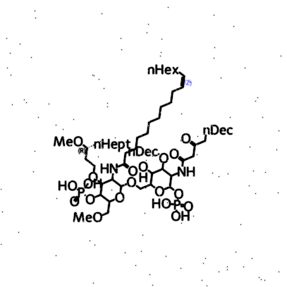 CCCCCC/C=C\CCCCCCCCCC(=O)NC1C(OCC2OC(OP(=O)(O)O)C(NC(=O)CC(=O)CCCCCCCCCCC)C(OCCCCCCCCCC)C2O)OC(COC)C(OP(=O)(O)O)C1OCC[C@@H](CCCCCCC)OC